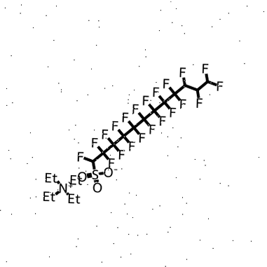 CC[N+](CC)(CC)CC.O=S(=O)([O-])C(F)C(F)(F)C(F)(F)C(F)(F)C(F)(F)C(F)(F)C(F)(F)C(F)(F)C(F)(F)C(F)C(F)C(F)F